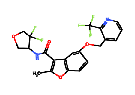 Cc1oc2ccc(OCc3cccnc3C(F)(F)F)cc2c1C(=O)NC1COCC1(F)F